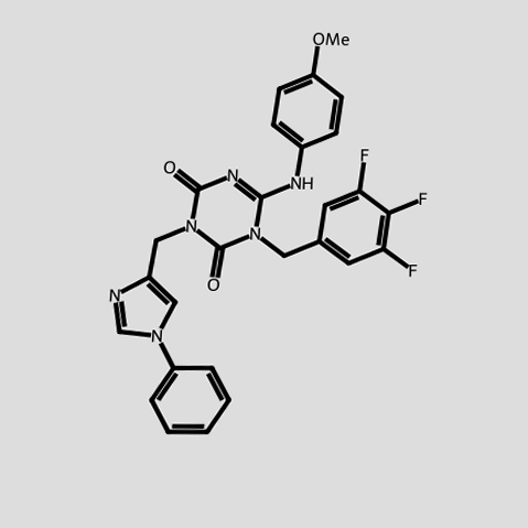 COc1ccc(Nc2nc(=O)n(Cc3cn(-c4ccccc4)cn3)c(=O)n2Cc2cc(F)c(F)c(F)c2)cc1